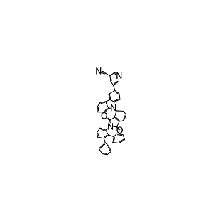 N#Cc1cncc(-c2ccc3c(c2)c2ccccc2n3-c2cccc3c2C(=O)N(c2cccc(-c4ccccc4)c2-c2ccccc2)C3=O)c1